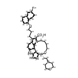 CCc1[nH]nc2c1-c1c(Cl)ccc3c(CCCOc4cccc5cc(F)ccc45)c(C(=O)O)n(c13)CCCCO[C@@H]2CCN1CCOCC1